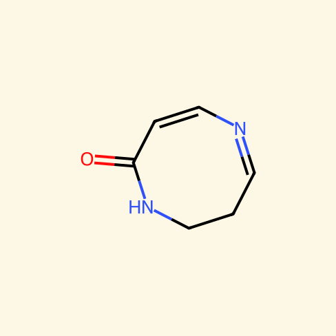 O=C1C=CN=CCCN1